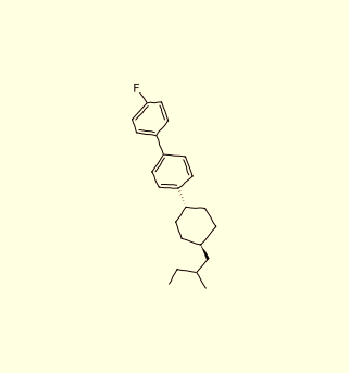 CCC(C)C[C@H]1CC[C@H](c2ccc(-c3ccc(F)cc3)cc2)CC1